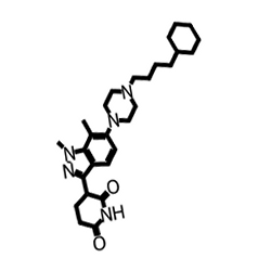 Cc1c(N2CCN(CCCCC3CCCCC3)CC2)ccc2c(C3CCC(=O)NC3=O)nn(C)c12